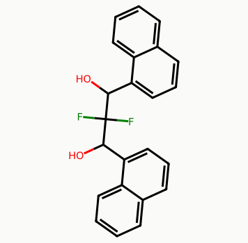 OC(c1cccc2ccccc12)C(F)(F)C(O)c1cccc2ccccc12